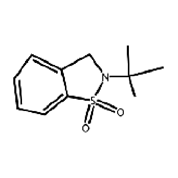 CC(C)(C)N1Cc2ccccc2S1(=O)=O